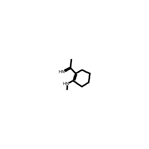 CNC1=C(C(C)=N)CCCC1